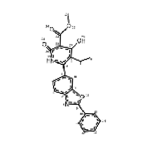 CCc1c(-c2ccc3nc(-c4ccccc4)oc3c2)[nH]c(=O)c(C(=O)OC)c1O